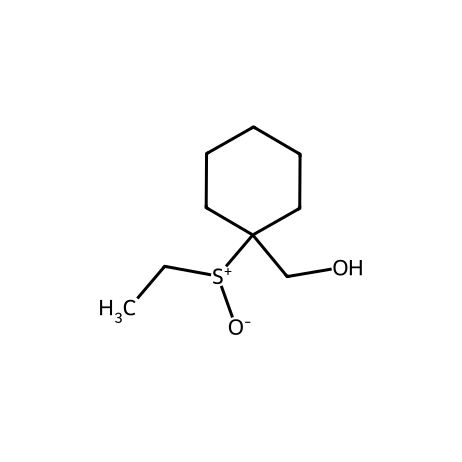 CC[S+]([O-])C1(CO)CCCCC1